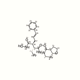 CC(C)C[C@@H](C(=O)NN(CC(C)C)C(=O)C1CCOC1)[C@H](CC=Cc1ccccc1)C(=O)NO